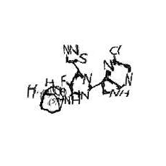 O=C(O)[C@H]1[C@@H]2CCCC(CC2)[C@@H]1Nc1nc(-c2c[nH]c3ncc(Cl)nc23)nc(-c2cnns2)c1F